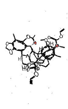 C=COC(=O)Oc1cc2c(cc1OC)[C@@]1(CS[C@@H]3c4c(OC(C)=O)c(C)c5c(c4[C@H](COC1=O)N1C3[C@@H]3c4c(cc(C)c(OC)c4O)C[C@@H]([C@@H]1O)N3C)OCO5)N(C(=O)OC=C)CC2